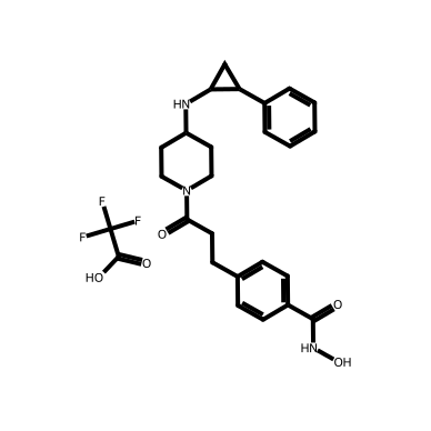 O=C(NO)c1ccc(CCC(=O)N2CCC(NC3CC3c3ccccc3)CC2)cc1.O=C(O)C(F)(F)F